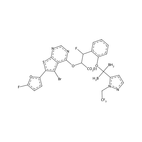 BC(B)(Oc1ccccc1C(F)C(Oc1ncnc2sc(-c3ccc(F)o3)c(Br)c12)C(=O)OCC)c1ccnn1CC(F)(F)F